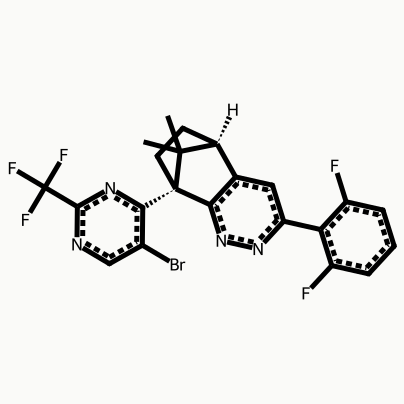 CC1(C)[C@H]2CC[C@]1(c1nc(C(F)(F)F)ncc1Br)c1nnc(-c3c(F)cccc3F)cc12